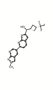 Cn1cc2cc(-c3ccc4cc([C@@H](O)[C@H]5C[C@@H](C(F)(F)F)C5)sc4n3)cnc2n1